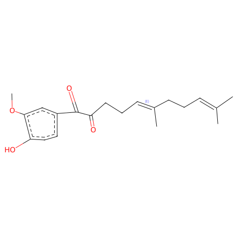 COc1cc(C(=O)C(=O)CC/C=C(\C)CCC=C(C)C)ccc1O